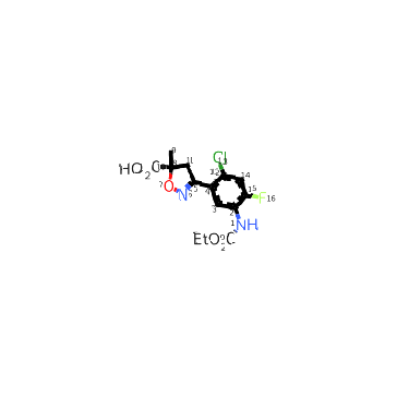 CCOC(=O)Nc1cc(C2=NOC(C)(C(=O)O)C2)c(Cl)cc1F